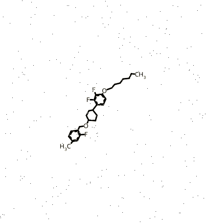 CCCCCCCOc1ccc(C2CCC(OCc3ccc(C)cc3F)CC2)c(F)c1F